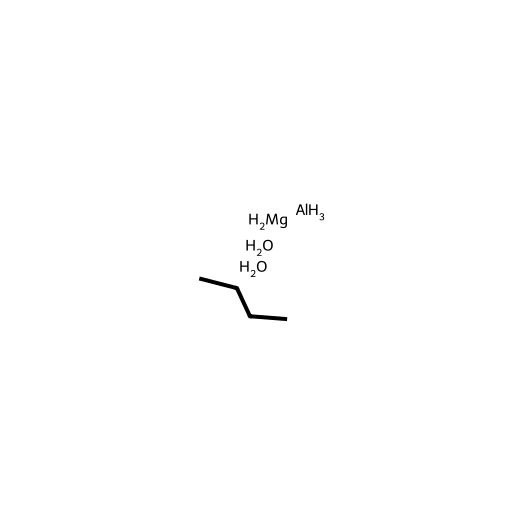 CCCC.O.O.[AlH3].[MgH2]